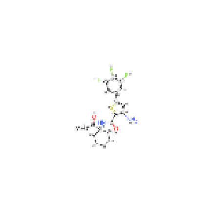 COC(=O)C1(NC(=O)c2sc(-c3cc(F)c(F)c(F)c3)cc2N)CCCCC1